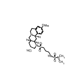 COc1ccc2c(c1)CCN1C[C@H]3CCCN(S(=O)(=O)CCCNS(=O)(=O)N(C)C)[C@H]3C[C@@H]21.Cl